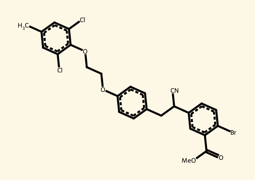 COC(=O)c1cc(C(C#N)Cc2ccc(OCCOc3c(Cl)cc(C)cc3Cl)cc2)ccc1Br